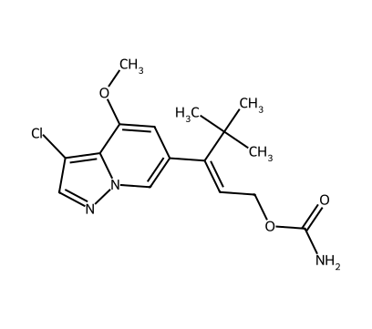 COc1cc(C(=CCOC(N)=O)C(C)(C)C)cn2ncc(Cl)c12